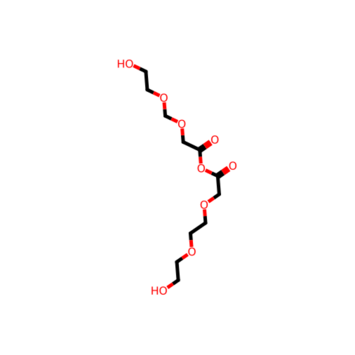 O=C(COCCOCCO)OC(=O)COCOCCO